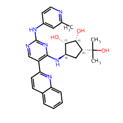 Cc1cc(Nc2ncc(-c3ccc4ccccc4n3)c(N[C@@H]3C[C@@H](C(C)(C)O)[C@@H](O)[C@H]3O)n2)ccn1